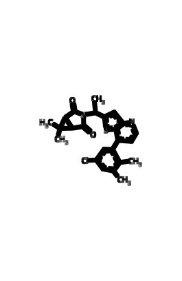 Cc1cc(Cl)cc(-c2ccnc3cc(C(C)N4C(=O)C5C(C4=O)C5(C)C)sc23)c1C